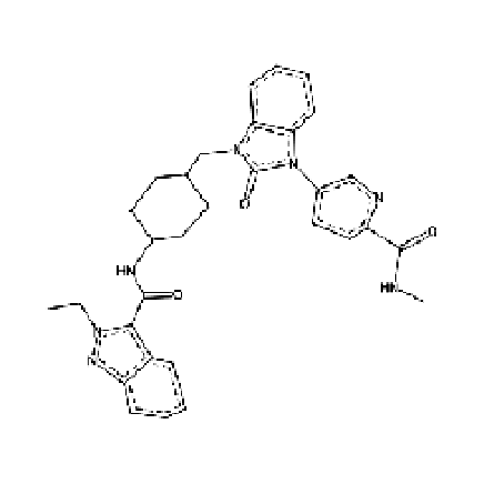 CCn1nc2ccccc2c1C(=O)NC1CCC(Cn2c(=O)n(-c3ccc(C(=O)NC)nc3)c3ccccc32)CC1